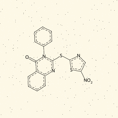 O=c1c2ccccc2nc(Sc2ncc([N+](=O)[O-])s2)n1-c1ccccc1